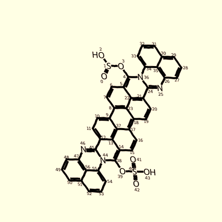 O=S(O)OC1=c2ccc3c4ccc5c6c(ccc(c7ccc(c2c37)C2=Nc3cccc7cccc(c37)N21)c64)=C(OS(=O)(=O)O)N1C5=Nc2cccc3cccc1c23